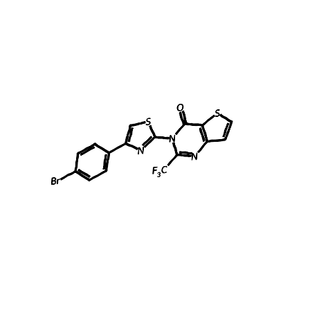 O=c1c2sccc2nc(C(F)(F)F)n1-c1nc(-c2ccc(Br)cc2)cs1